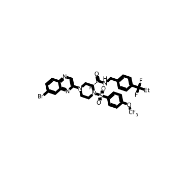 CCC(F)(F)c1ccc(CNC(=O)[C@H]2CN(c3cnc4ccc(Br)cc4n3)CCN2S(=O)(=O)c2ccc(OC(F)(F)F)cc2)cc1